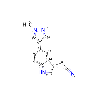 Cn1cc(-c2ccc3[nH]cc(CC#N)c3c2)cn1